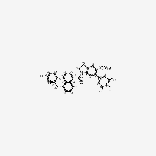 COc1cc2c(cc1N1CC(C)N(C)C(C)C1)N(C(=O)c1ccc(-c3ccc(C)nc3C)c3ccccc13)CC2